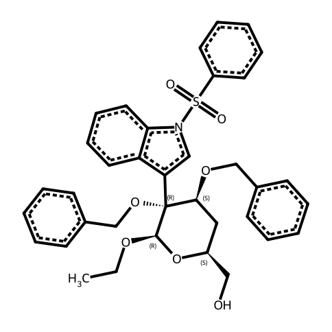 CCO[C@@H]1O[C@H](CO)C[C@H](OCc2ccccc2)[C@]1(OCc1ccccc1)c1cn(S(=O)(=O)c2ccccc2)c2ccccc12